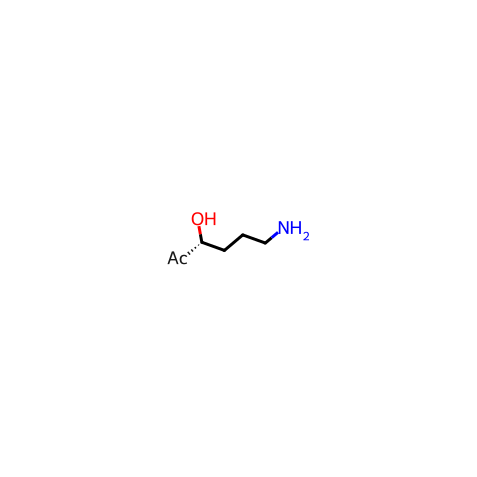 CC(=O)[C@H](O)CCCN